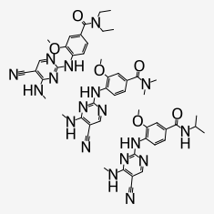 CCN(CC)C(=O)c1ccc(Nc2ncc(C#N)c(NC)n2)c(OC)c1.CNc1nc(Nc2ccc(C(=O)N(C)C)cc2OC)ncc1C#N.CNc1nc(Nc2ccc(C(=O)NC(C)C)cc2OC)ncc1C#N